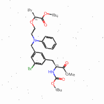 COC(=O)[C@H](Cc1cc(Br)cc(CN(CCO[C@H](C(=O)OC(C)(C)C)C(C)C)c2ccccc2)c1)NC(=O)OC(C)(C)C